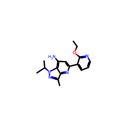 CCOc1ncccc1-c1cc(N)c2c(n1)c(C)nn2C(C)C